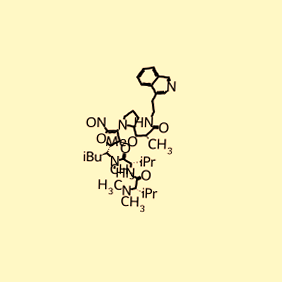 CC[C@H](C)C([C@H]1CC(N2CCC[C@H]2[C@H](OC)[C@@H](C)C(=O)NCCc2cncc3ccccc23)=C(N=O)O1)N(C)C(=O)[C@@H](NC(=O)[C@H](C(C)C)N(C)C)C(C)C